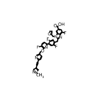 Cn1cc(C#Cc2ccc(COc3nc(-c4cc(F)c(Cc5nc6c(F)cc(C(=O)O)cc6n5CC5CCO5)cc4F)ccc3F)cn2)cn1